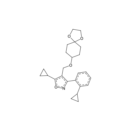 c1ccc(C2CC2)c(-c2noc(C3CC3)c2COC2CCC3(CC2)OCCO3)c1